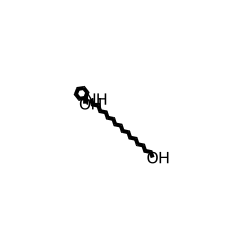 OCCCCCCCCCCCCCCCCNC1(O)CCCCC1